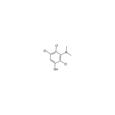 CN(C)c1c(Cl)c(O)cc(Cl)c1Cl